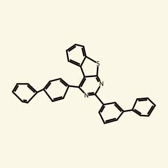 c1ccc(-c2ccc(-c3nc(-c4cccc(-c5ccccc5)c4)nc4sc5ccccc5c34)cc2)cc1